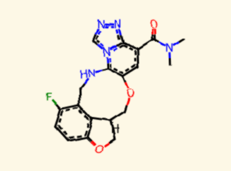 CN(C)C(=O)c1cc2c(n3cnnc13)NCc1c(F)ccc3c1[C@H](CO3)CO2